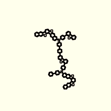 c1ccc(-c2ccc(N(c3ccc(-c4cccc5c4oc4ccc(-c6ccc(-c7ccc(N(c8ccc(-c9cccc%10c9oc9ccccc9%10)cc8)c8ccc9cc%10c(cc9c8)oc8ccc9c%11cc%12ccccc%12cc%11oc9c8%10)cc7)cc6)cc45)cc3)c3ccc4cc5c(cc4c3)oc3ccc4oc6cc7ccccc7cc6c4c35)cc2)cc1